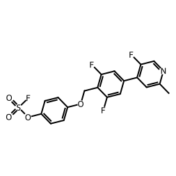 Cc1cc(-c2cc(F)c(COc3ccc(OS(=O)(=O)F)cc3)c(F)c2)c(F)cn1